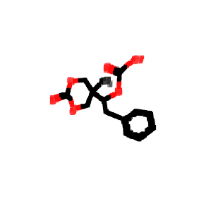 CC1(C(Cc2ccccc2)OC(=O)O)COC(=O)OC1